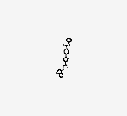 O=C(CSc1ccnc2ccccc12)c1ccc(N2CCN(C(=O)Oc3ccccc3)CC2)cc1